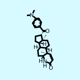 CN(C)c1ccc(C(=O)[C@H]2CC[C@H]3[C@@H]4CC[C@H]5NC(=O)C=C[C@]5(C)[C@H]4CC[C@]23C)cc1